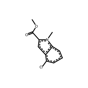 COC(=O)c1cc2c(Cl)cccc2n1C